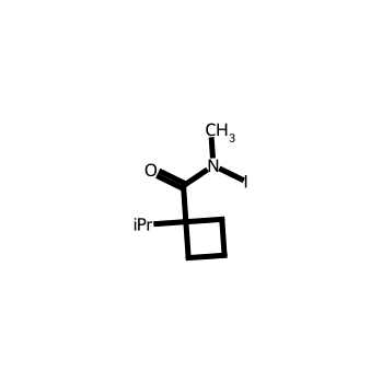 CC(C)C1(C(=O)N(C)I)CCC1